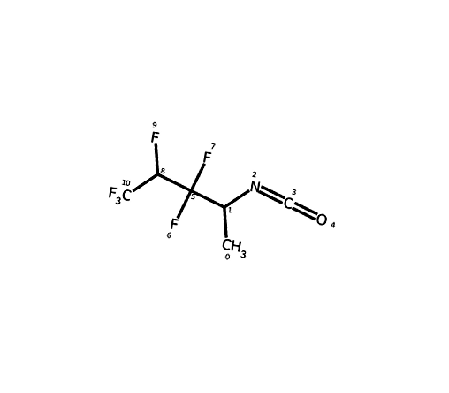 CC(N=C=O)C(F)(F)C(F)C(F)(F)F